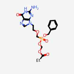 CCC(=O)OCOP(=O)(COCCn1cnc2c(=O)[nH]c(N)nc21)OCc1ccccc1